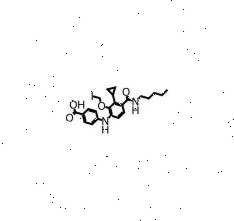 CCCCCNC(=O)c1ccc(Nc2ccc(C(=O)O)cc2)c(OCI)c1C1CC1